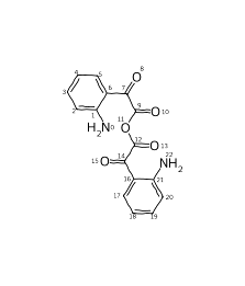 Nc1ccccc1C(=O)C(=O)OC(=O)C(=O)c1ccccc1N